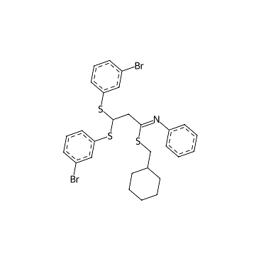 Brc1cccc(SC(CC(=Nc2ccccc2)SCC2CCCCC2)Sc2cccc(Br)c2)c1